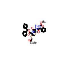 COC(=O)CSC1=C(C(=O)OC(c2ccccc2)c2ccccc2)N2C(=O)[C@@H](NC(=O)C(NC(=O)OC(C)(C)C)c3ccccc3)[C@@H]2SC1